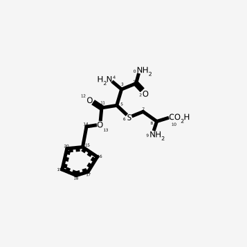 NC(=O)C(N)C(SCC(N)C(=O)O)C(=O)OCc1ccccc1